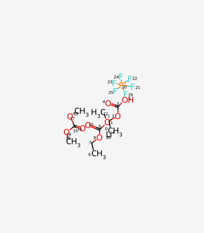 CCOC(=O)O.CCOC(=O)OC.COC(=O)OC.F[P-](F)(F)(F)(F)F.[Li+]